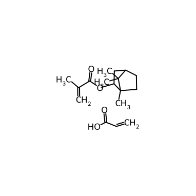 C=C(C)C(=O)OC1CC2CCC1(C)C2(C)C.C=CC(=O)O